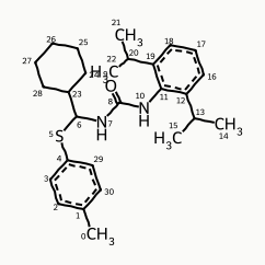 Cc1ccc(SC(NC(=O)Nc2c(C(C)C)cccc2C(C)C)C2CCCCC2)cc1